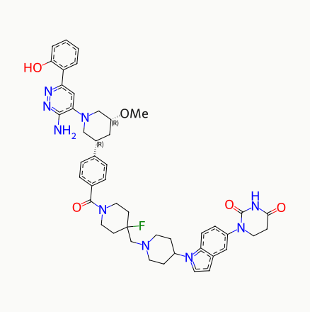 CO[C@@H]1C[C@H](c2ccc(C(=O)N3CCC(F)(CN4CCC(n5ccc6cc(N7CCC(=O)NC7=O)ccc65)CC4)CC3)cc2)CN(c2cc(-c3ccccc3O)nnc2N)C1